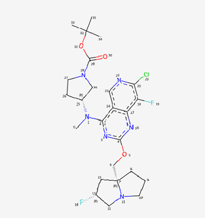 CN(c1nc(OC[C@]23CCCN2C[C@H](F)C3)nc2c(F)c(Cl)ncc12)[C@@H]1CCN(C(=O)OC(C)(C)C)C1